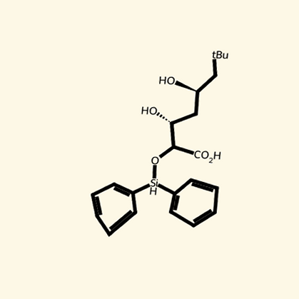 CC(C)(C)C[C@H](O)C[C@@H](O)C(O[SiH](c1ccccc1)c1ccccc1)C(=O)O